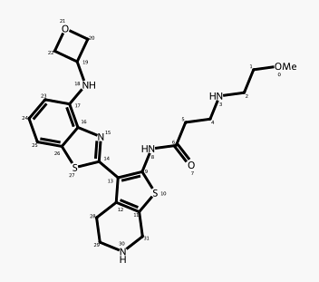 COCCNCCC(=O)Nc1sc2c(c1-c1nc3c(NC4COC4)cccc3s1)CCNC2